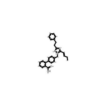 CC/C=C/c1nc(CCc2ccccc2)nn1Cc1ccc(-c2ccccc2C(=O)O)cc1